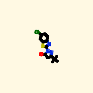 CC(C)(C)C1=NN(c2nc3ccc(Cl)cc3s2)C(=O)C1